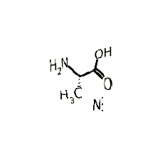 C[C@H](N)C(=O)O.[N]